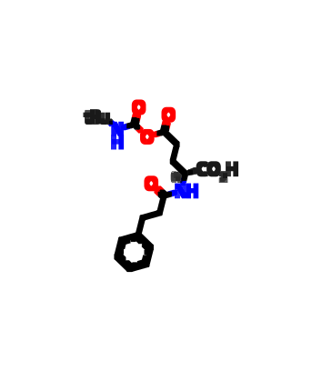 CC(C)(C)NC(=O)OC(=O)CC[C@H](NC(=O)CCc1ccccc1)C(=O)O